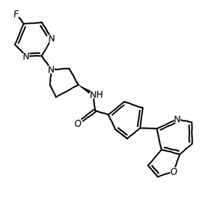 O=C(N[C@H]1CCN(c2ncc(F)cn2)C1)c1ccc(-c2nccc3occc23)cc1